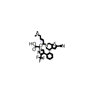 CN(C)C/C=C/C(=O)N1Cc2sc(C#N)cc2[C@H](c2ccccc2-c2cn(CC(=O)O)nc2C(F)(F)F)C1